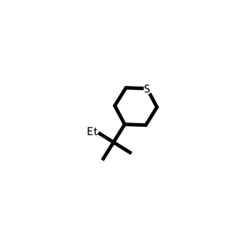 CCC(C)(C)C1CCSCC1